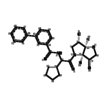 O=C(NC(C(=O)N1C[C@H](Cl)[C@H]2OCC(=O)[C@H]21)C1CCCC1)c1cccc(-c2cccnc2)c1